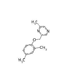 Cc1ccc(OCc2cncc(C)n2)c(C)c1